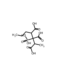 CCCC(C(=O)O)C(C(=O)O)(C(C)C(=O)O)P(=O)(O)O